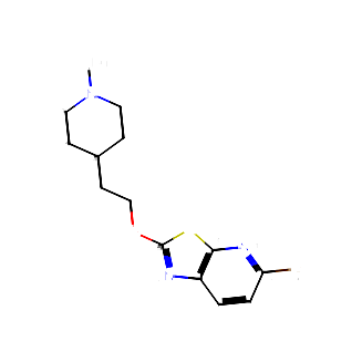 CC(C)(C)N1CCC(CCOc2nc3ccc(Br)nc3s2)CC1